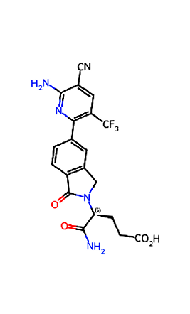 N#Cc1cc(C(F)(F)F)c(-c2ccc3c(c2)CN([C@@H](CCC(=O)O)C(N)=O)C3=O)nc1N